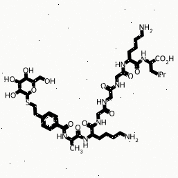 CC(C)CC(NC(=O)C(CCCCN)NC(=O)CNC(=O)CNC(=O)CNC(=O)C(CCCCN)NC(=O)C(C)NC(=O)c1ccc(CCSC2OC(CO)C(O)C(O)C2O)cc1)C(=O)O